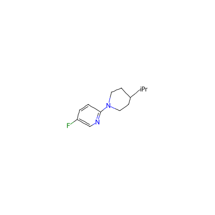 CC(C)C1CCN(c2ccc(F)cn2)CC1